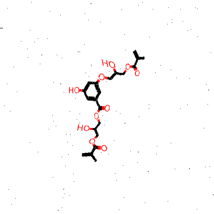 C=C(C)C(=O)OCC(O)COC(=O)c1cc(O)cc(OCC(O)COC(=O)C(=C)C)c1